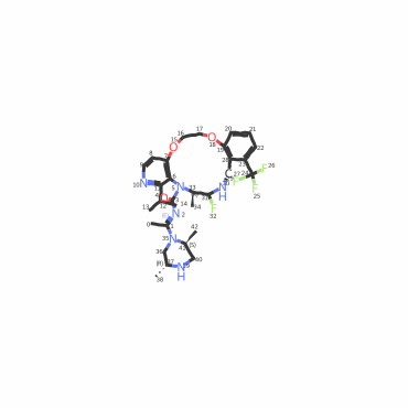 C/C(=N\C(=O)N1c2c(ccnc2C(C)C)OCCOc2cccc(C(F)(F)F)c2CNC(F)[C@H]1C)N1C[C@@H](C)NC[C@@H]1C